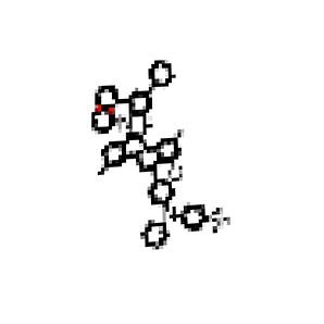 Cc1ccc2c(N(c3ccccc3)c3c(F)cc(-c4ccccc4)cc3-c3ccccc3)cc3c4cc(C)cc5c4c(cc3c2c1)-c1ccc(N(c2ccccc2)c2ccc([Si](C)(C)C)cc2)cc1O5